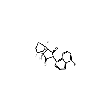 C[C@]12CC[C@](C)(O1)C1C(=O)N(c3cccc4c(F)cccc34)C(=O)[C@@H]12